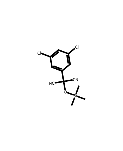 C[Si](C)(C)OC(C#N)(C#N)c1cc(Cl)cc(Cl)c1